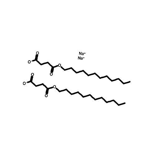 CCCCCCCCCCCCOC(=O)CCC(=O)[O-].CCCCCCCCCCCCOC(=O)CCC(=O)[O-].[Na+].[Na+]